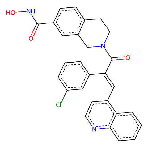 O=C(NO)c1ccc2c(c1)CN(C(=O)C(=Cc1ccnc3ccccc13)c1cccc(Cl)c1)CC2